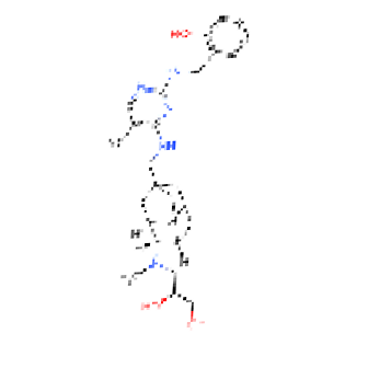 CN(C[C@H](O)CO)[C@@H]1[C@@H]2CC3C[C@H]1CC(CNc1nc(NCc4ccccc4O)ncc1C#N)(C3)C2